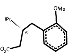 COc1ccccc1C[C@H](CC(=O)O)C(C)C